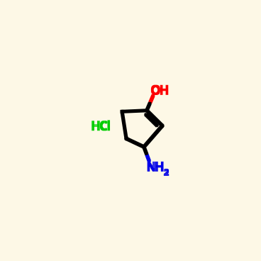 Cl.NC1C=C(O)CC1